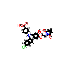 COc1cc(CN(C[C@H]2CC[C@H](C(=O)O)CC2)[C@H]2CCc3cc(Cl)ccc32)ccc1OCCN1C(=O)C2CC2C1=O